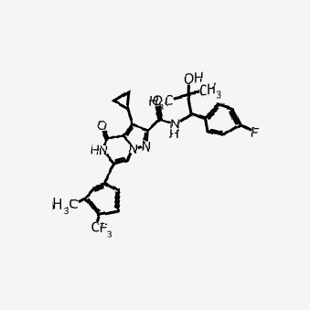 Cc1cc(-c2cn3nc(C(=O)NC(c4ccc(F)cc4)C(C)(C)O)c(C4CC4)c3c(=O)[nH]2)ccc1C(F)(F)F